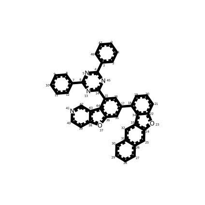 c1ccc(-c2nc(-c3ccccc3)nc(-c3cc(-c4cccc5oc6cc7ccccc7cc6c45)cc4oc5ccncc5c34)n2)cc1